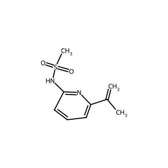 C=C(C)c1cccc(NS(C)(=O)=O)n1